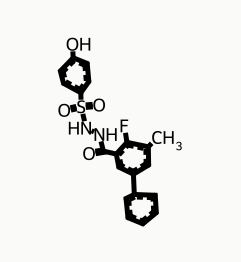 Cc1cc(-c2ccccc2)cc(C(=O)NNS(=O)(=O)c2ccc(O)cc2)c1F